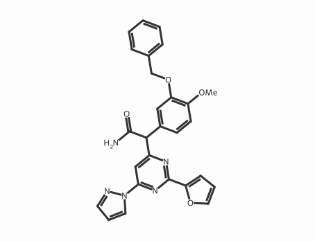 COc1ccc(C(C(N)=O)c2cc(-n3cccn3)nc(-c3ccco3)n2)cc1OCc1ccccc1